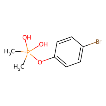 CP(C)(O)(O)Oc1ccc(Br)cc1